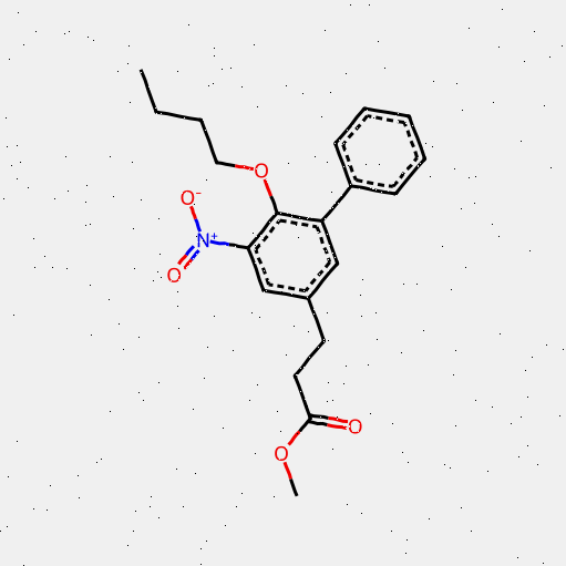 CCCCOc1c(-c2ccccc2)cc(CCC(=O)OC)cc1[N+](=O)[O-]